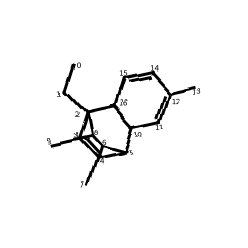 CCC12C=CC(C(C)C1C)C1C=C(C)C=CC12